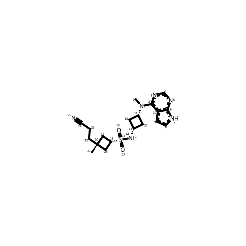 CN(c1ncnc2[nH]ccc12)[C@H]1C[C@@H](NS(=O)(=O)[C@H]2C[C@@](C)(CCC#N)C2)C1